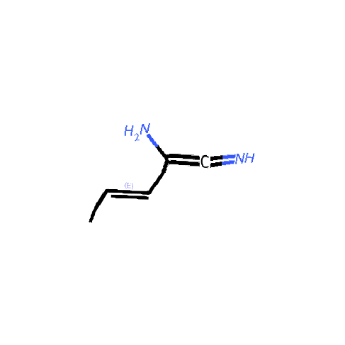 C/C=C/C(N)=C=N